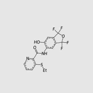 CCSc1cccnc1C(=O)Nc1cc2c(cc1O)C(F)(F)OC2(F)F